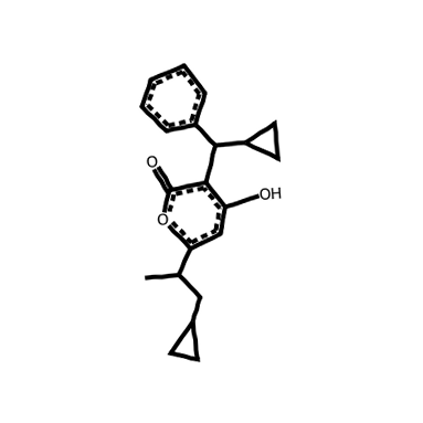 CC(CC1CC1)c1cc(O)c(C(c2ccccc2)C2CC2)c(=O)o1